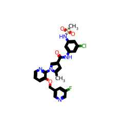 Cc1cc(C(=O)Nc2cc(Cl)cc(NS(C)(=O)=O)c2)cn1-c1ncccc1OCc1cncc(F)c1